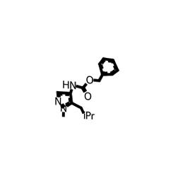 CC(C)Cc1c(NC(=O)OCc2ccccc2)cnn1C